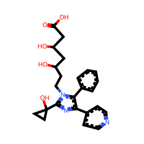 O=C(O)CC(O)CC(O)CCn1c(C2(O)CC2)nc(-c2ccncc2)c1-c1ccccc1